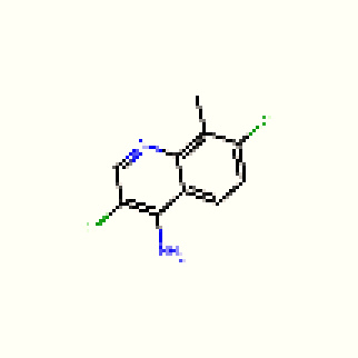 Cc1c(Cl)ccc2c(N)c(Cl)cnc12